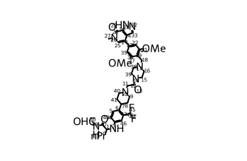 CCCC(Nc1ccc(C2CCN(CC(=O)N3CCN(Cc4c(OC)cc(-c5cn(C)c(=O)c6[nH]ncc56)cc4OC)CC3)CC2)c(C(F)F)c1)C(=O)NC=O